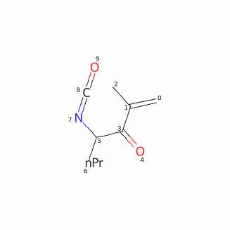 C=C(C)C(=O)C(CCC)N=C=O